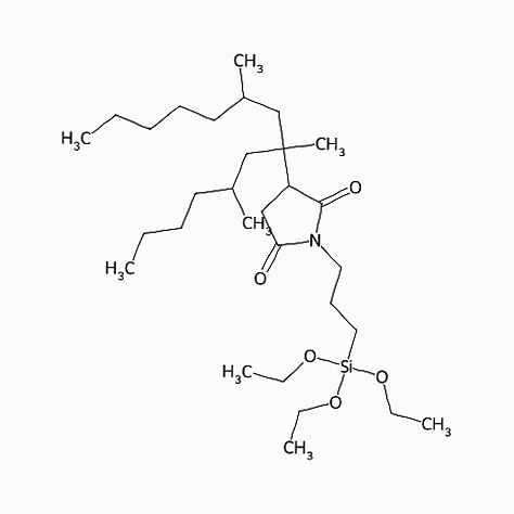 CCCCCC(C)CC(C)(CC(C)CCCC)C1CC(=O)N(CCC[Si](OCC)(OCC)OCC)C1=O